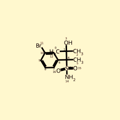 CC(C)(O)C(C)(c1cccc(Br)c1)S(N)(=O)=O